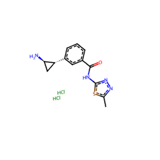 Cc1nnc(NC(=O)c2cccc([C@@H]3C[C@H]3N)c2)s1.Cl.Cl